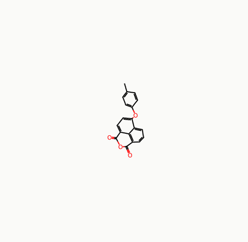 Cc1ccc(Oc2ccc3c4c(cccc24)C(=O)OC3=O)cc1